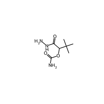 CC(C)(C)C(OC(N)=O)C(=O)NN